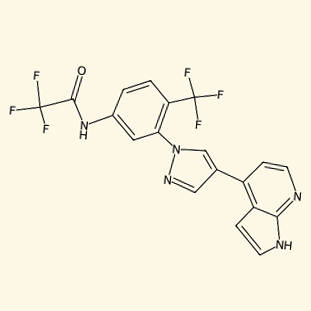 O=C(Nc1ccc(C(F)(F)F)c(-n2cc(-c3ccnc4[nH]ccc34)cn2)c1)C(F)(F)F